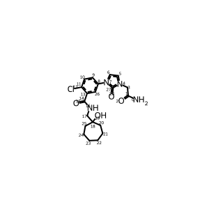 NC(=O)Cn1ccn(-c2ccc(Cl)c(C(=O)NCC3(O)CCCCCC3)c2)c1=O